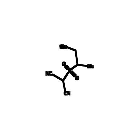 CC(C)(C)CC(C(C)(C)C)S(=O)(=O)C(C#N)C#N